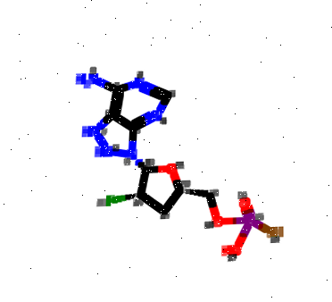 Nc1ncnc2c1NNN2[C@@H]1O[C@H](COP(=O)(O)S)C[C@@H]1F